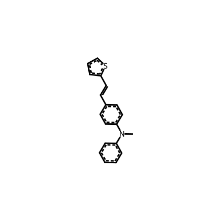 CN(c1ccccc1)c1ccc(C=Cc2cccs2)cc1